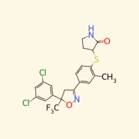 Cc1cc(C2=NOC(c3cc(Cl)cc(Cl)c3)(C(F)(F)F)C2)ccc1SC1CCNC1=O